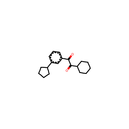 O=C(C(=O)C1CCCCC1)c1cccc(C2CCCC2)c1